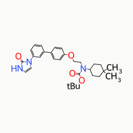 CC1(C)CCC(N(CCOc2ccc(-c3cccc(-n4cc[nH]c4=O)c3)cc2)C(=O)OC(C)(C)C)CC1